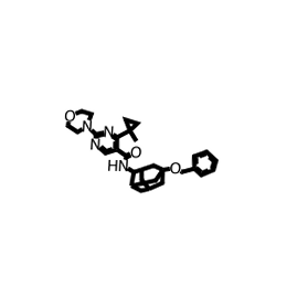 CC1(c2nc(N3CCOCC3)ncc2C(=O)NC2C3CC4CC2CC(OCc2ccccc2)(C4)C3)CC1